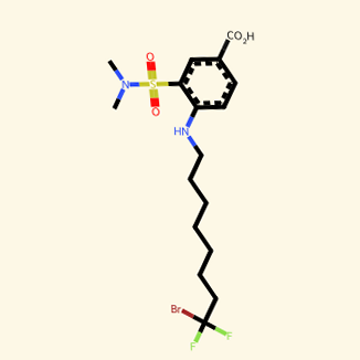 CN(C)S(=O)(=O)c1cc(C(=O)O)ccc1NCCCCCCCC(F)(F)Br